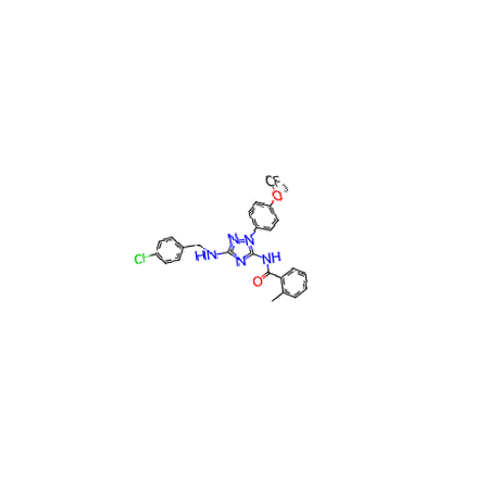 Cc1ccccc1C(=O)Nc1nc(NCc2ccc(Cl)cc2)nn1-c1ccc(OC(F)(F)F)cc1